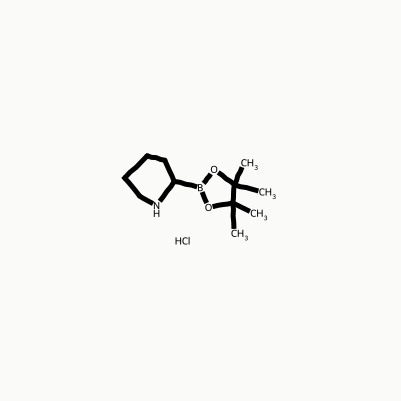 CC1(C)OB(C2CCCCN2)OC1(C)C.Cl